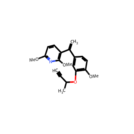 C#CC(C)Oc1cc(C(=C)c2ccc(OC)nc2OC)ccc1OC